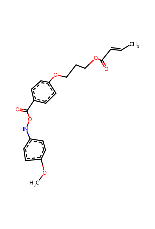 CC=CC(=O)OCCCOc1ccc(C(=O)ONc2ccc(OC)cc2)cc1